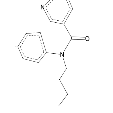 CCCCN(C(=O)c1cccnc1)c1cc[c]cc1